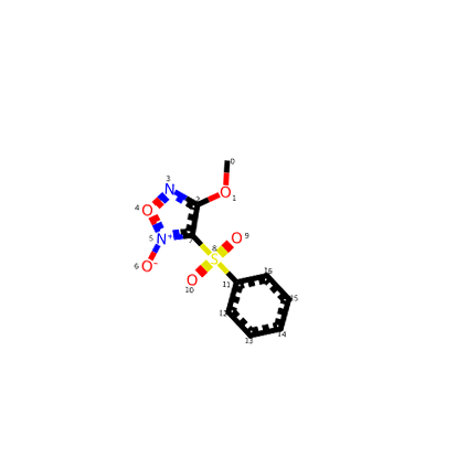 COc1no[n+]([O-])c1S(=O)(=O)c1ccccc1